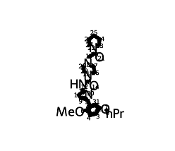 CCCOc1ccc(OC)c(C2=CCC(NC(=O)N3CCN(CC(=O)N4CCCCC4)CC3)=N2)c1